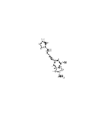 Nc1nc2c(O)cc(C#CCNc3cc[nH]n3)cc2s1